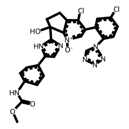 COC(=O)Nc1ccc(-c2cnc(C3(O)CCc4c(Cl)c(-c5cc(Cl)ccc5-n5cnnn5)c[n+]([O-])c43)[nH]2)cc1